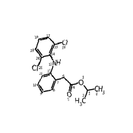 CC(C)OC(=O)Cc1ccccc1Nc1c(Cl)cccc1Cl